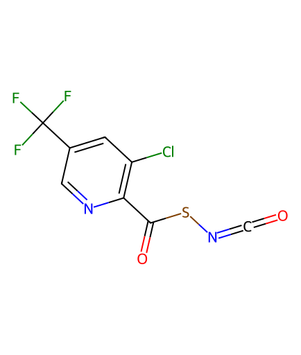 O=C=NSC(=O)c1ncc(C(F)(F)F)cc1Cl